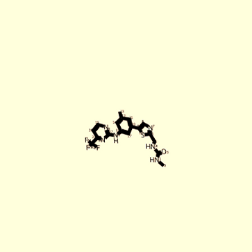 CNC(=O)NCc1ncc(-c2cc(C)cc(Nc3nccc(C(F)(F)F)n3)c2)s1